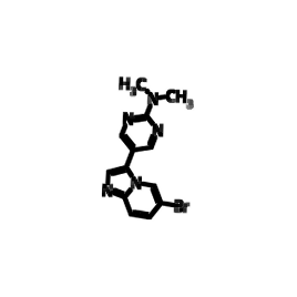 CN(C)c1ncc(-c2cnc3ccc(Br)cn23)cn1